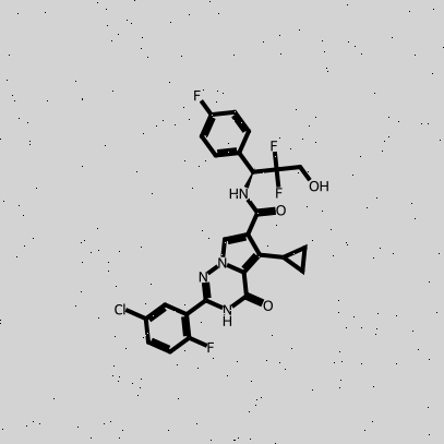 O=C(N[C@@H](c1ccc(F)cc1)C(F)(F)CO)c1cn2nc(-c3cc(Cl)ccc3F)[nH]c(=O)c2c1C1CC1